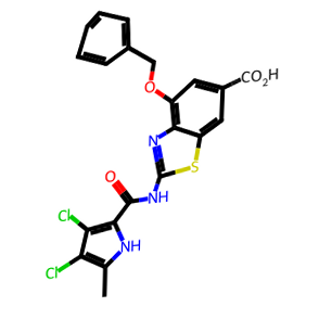 Cc1[nH]c(C(=O)Nc2nc3c(OCc4ccccc4)cc(C(=O)O)cc3s2)c(Cl)c1Cl